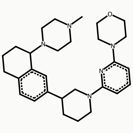 CN1CCN(C2CCCc3ccc(C4CCCN(c5cccc(N6CCOCC6)n5)C4)cc32)CC1